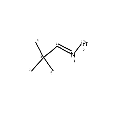 CC(C)N=CC(C)(C)C